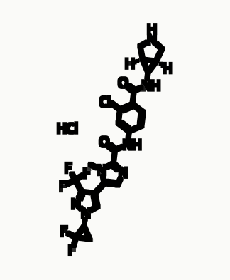 Cl.Cn1c(-c2cn([C@H]3CC3(F)F)nc2C(F)(F)F)cnc1C(=O)Nc1ccc(C(=O)NC2[C@H]3CNC[C@@H]23)c(Cl)c1